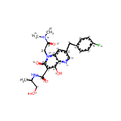 CC(CO)NC(=O)c1c(O)c2ncc(Cc3ccc(F)cc3)cc2n(CC(=O)N(C)C)c1=O